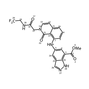 COC(=O)c1cc(Nc2cccc3ccn(CC(=O)NCC(F)(F)F)c(=O)c23)cc2cn[nH]c12